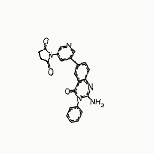 Nc1nc2ccc(-c3cncc(N4C(=O)CCC4=O)c3)cc2c(=O)n1-c1ccccc1